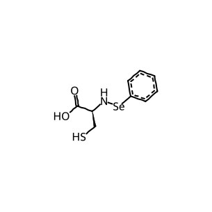 O=C(O)[C@H](CS)N[Se]c1ccccc1